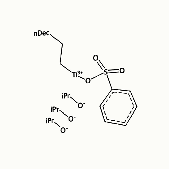 CC(C)[O-].CC(C)[O-].CC(C)[O-].CCCCCCCCCCC[CH2][Ti+3][O]S(=O)(=O)c1ccccc1